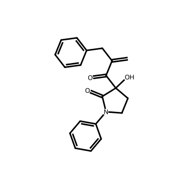 C=C(Cc1ccccc1)C(=O)C1(O)CCN(c2ccccc2)C1=O